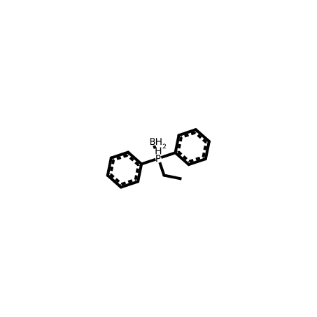 B[PH](CC)(c1ccccc1)c1ccccc1